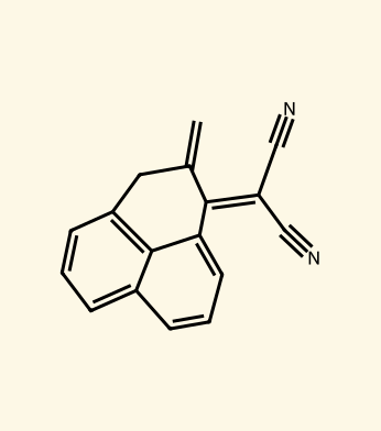 C=C1Cc2cccc3cccc(c23)C1=C(C#N)C#N